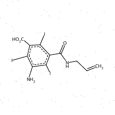 C=CCNC(=O)c1c(I)c(N)c(I)c(C(=O)O)c1I